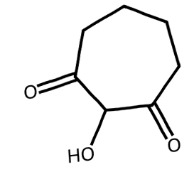 O=C1CCCCC(=O)C1O